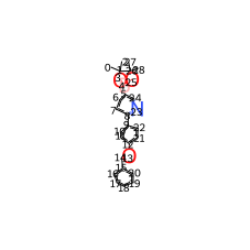 CC1(C)OB(c2ccc(-c3ccc(OCc4ccccc4)cc3)nc2)OC1(C)C